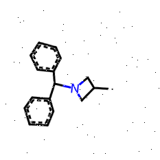 [CH2]C1CN(C(c2ccccc2)c2ccccc2)C1